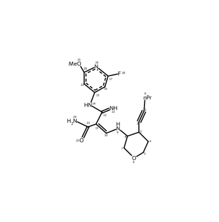 CCCC#CC1CCOCC1N/C=C(\C(=N)Nc1cc(F)nc(OC)c1)C(N)=O